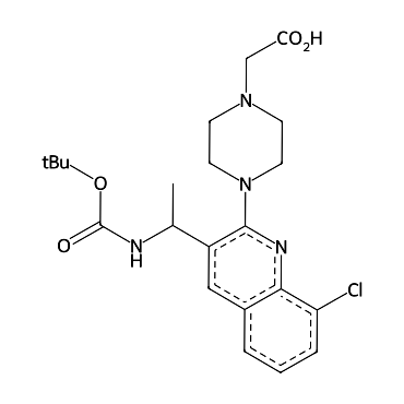 CC(NC(=O)OC(C)(C)C)c1cc2cccc(Cl)c2nc1N1CCN(CC(=O)O)CC1